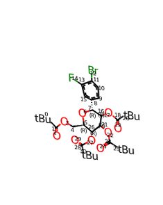 CC(C)(C)C(=O)OC[C@H]1O[C@H](c2ccc(Br)c(F)c2)[C@@H](OC(=O)C(C)(C)C)[C@@H](OC(=O)C(C)(C)C)[C@@H]1OC(=O)C(C)(C)C